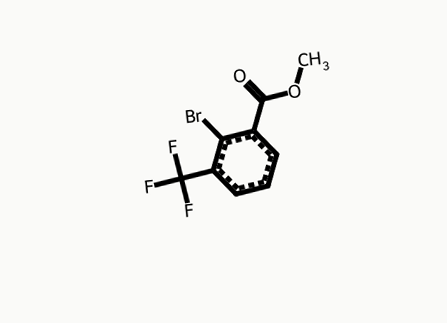 COC(=O)c1cccc(C(F)(F)F)c1Br